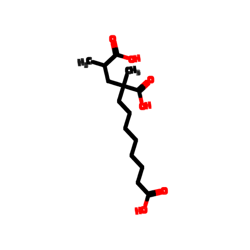 CC(CC(C)(CCCCCCCC(=O)O)C(=O)O)C(=O)O